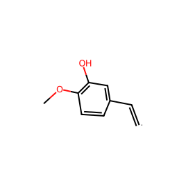 [CH]=Cc1ccc(OC)c(O)c1